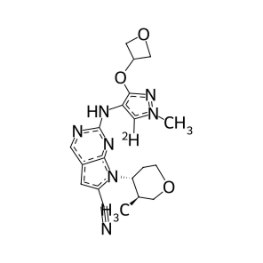 [2H]c1c(Nc2ncc3cc(C#N)n([C@@H]4CCOC[C@H]4C)c3n2)c(OC2COC2)nn1C